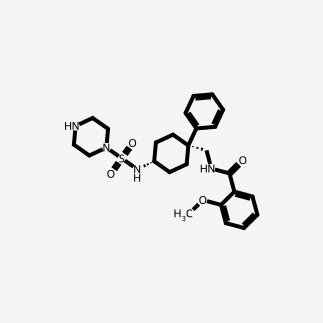 COc1ccccc1C(=O)NC[C@]1(c2ccccc2)CC[C@H](NS(=O)(=O)N2CCNCC2)CC1